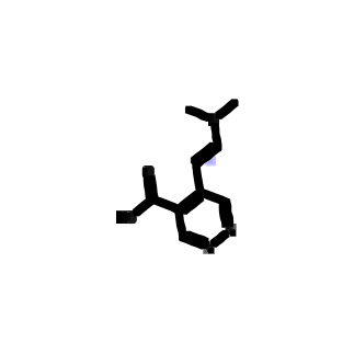 CN(C)/C=C/c1cnncc1C(=O)O